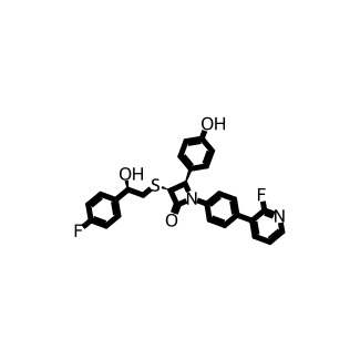 O=C1[C@H](SC[C@H](O)c2ccc(F)cc2)[C@@H](c2ccc(O)cc2)N1c1ccc(-c2cccnc2F)cc1